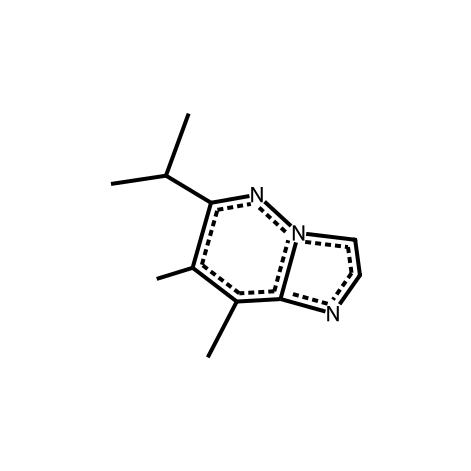 Cc1c(C(C)C)nn2ccnc2c1C